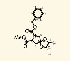 COC(=O)[C@@H]1CC2(CN1C(=O)OCc1ccccc1)O[C@@H](C)[C@H](C)O2